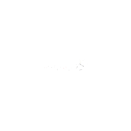 BrCCCCCCOCCCc1ccc2c(c1)SCC2